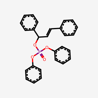 O=P(Oc1ccccc1)(Oc1ccccc1)OC(C=Cc1ccccc1)c1ccccc1